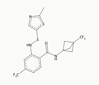 Cc1ncc(SNc2cc(C(F)(F)F)ccc2C(=O)NC23CC(C(F)(F)F)(C2)C3)s1